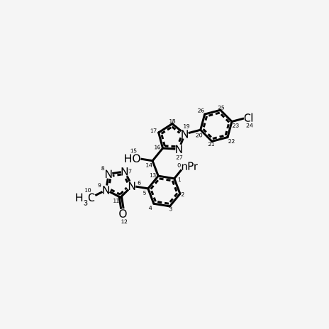 CCCc1cccc(-n2nnn(C)c2=O)c1C(O)c1ccn(-c2ccc(Cl)cc2)n1